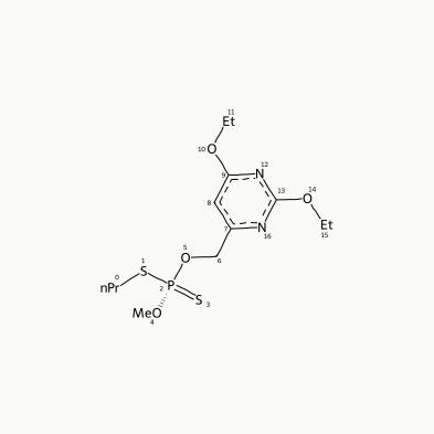 CCCS[P@@](=S)(OC)OCc1cc(OCC)nc(OCC)n1